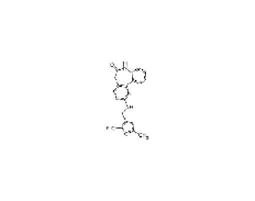 Cc1cc(CNc2ncc3c(n2)-c2ccccc2NC(=O)C3)c(C(F)(F)F)o1